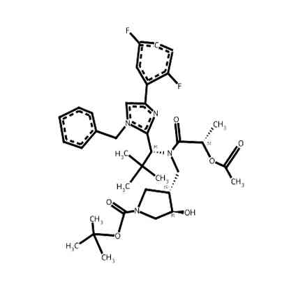 CC(=O)O[C@@H](C)C(=O)N(C[C@H]1CN(C(=O)OC(C)(C)C)C[C@@H]1O)[C@@H](c1nc(-c2cc(F)ccc2F)cn1Cc1ccccc1)C(C)(C)C